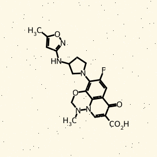 Cc1cc(NC2CCN(c3c(F)cc4c(=O)c(C(=O)O)cn5c4c3OCN5C)C2)no1